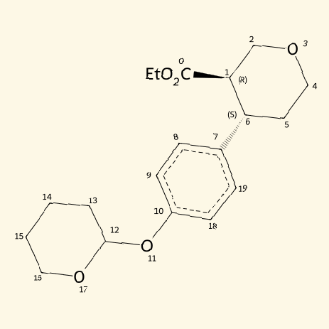 CCOC(=O)[C@H]1COCC[C@@H]1c1ccc(OC2CCCCO2)cc1